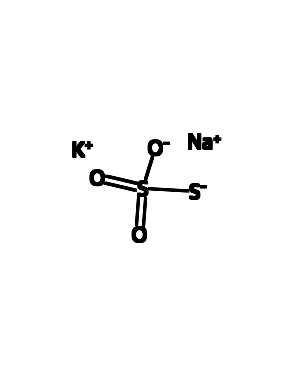 O=S(=O)([O-])[S-].[K+].[Na+]